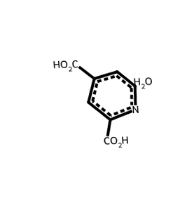 O.O=C(O)c1ccnc(C(=O)O)c1